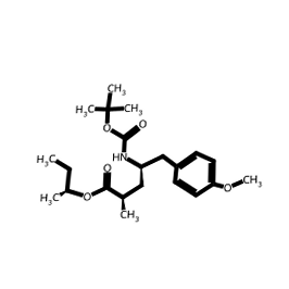 CC[C@H](C)OC(=O)[C@H](C)C[C@H](Cc1ccc(OC)cc1)NC(=O)OC(C)(C)C